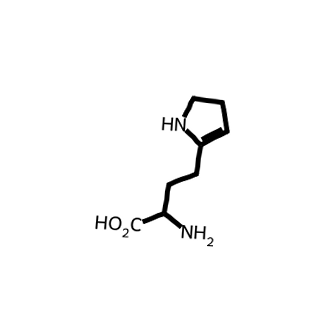 NC(CCC1=CCCN1)C(=O)O